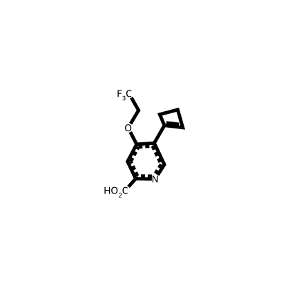 O=C(O)c1cc(OCC(F)(F)F)c(C2=CCC2)cn1